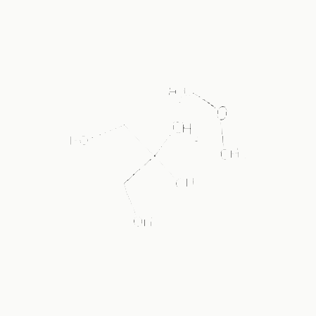 CC(O)(CO)CO.COC